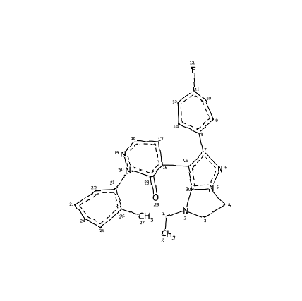 CCN1CCn2nc(-c3ccc(F)cc3)c(-c3ccnn(-c4ccccc4C)c3=O)c21